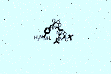 COC(=O)[C@H](Cc1ccc(C(=N)N)cc1)NC(=O)c1coc([C@H](CC(C)C)NC(=O)OC(C)(C)C)n1